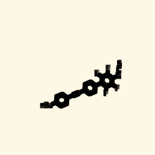 CCCCc1ccc(C#Cc2ccc(-c3c(F)c(F)c(N=C=S)c(F)c3F)cc2)cc1